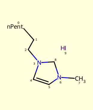 CCCCCCCN1C=CN(C)C1.I